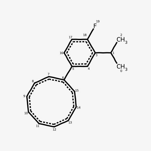 CC(C)c1cc(-c2ccccccccc2)ccc1F